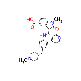 CN1CCN(Cc2ccc(NC(=C3C(=O)N(C)c4ccc(C(=O)O)cc43)c3cccnc3)cc2)CC1